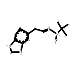 CC(C)(C)[S+]([O-])N=CCc1ccc2c(c1)OCO2